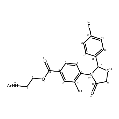 CC(=O)NCCOC(=O)c1ccc(N2C(=O)CSC2c2ccc(F)cc2)c(C)c1